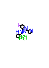 Cl.Cl.Ic1ccc2nc(-c3cccnc3)nc(NCc3ccccc3)c2c1